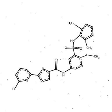 COc1ncc(NC(=O)c2csc(-c3cccc(Cl)n3)n2)cc1S(=O)(=O)Nc1c(C)cccc1C